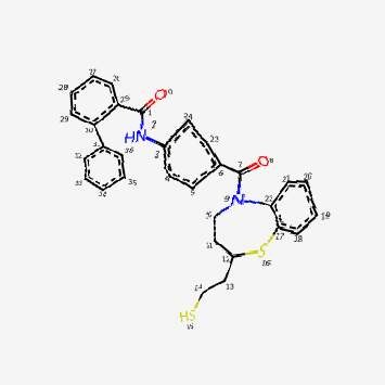 O=C(Nc1ccc(C(=O)N2CCC(CCS)Sc3ccccc32)cc1)c1ccccc1-c1ccccc1